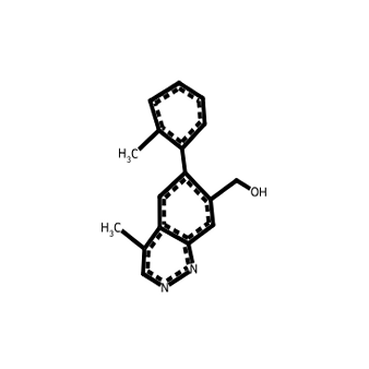 Cc1ccccc1-c1cc2c(C)cnnc2cc1CO